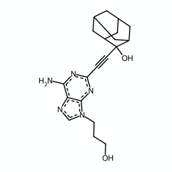 Nc1nc(C#CC2(O)C3CC4CC(C3)CC2C4)nc2c1ncn2CCCO